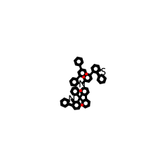 c1ccc(-c2cccc(-c3ccccc3N(c3ccc(-c4cccc5sc6ccccc6c45)cc3)c3ccc4c(c3)C3(c5ccccc5-4)c4ccccc4-n4c5ccccc5c5cccc3c54)c2)cc1